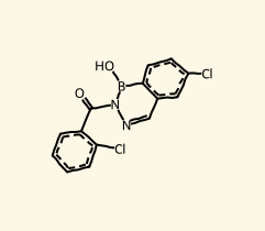 O=C(c1ccccc1Cl)N1N=Cc2cc(Cl)ccc2B1O